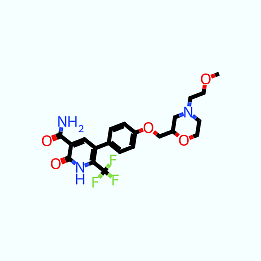 COCCN1CCOC(COc2ccc(-c3cc(C(N)=O)c(=O)[nH]c3C(F)(F)F)cc2)C1